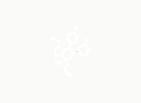 C=CC[C@@]1(C)C[C@H](c2cccc(Cl)c2)[C@@H](c2ccc(Cl)cc2)[N+]2=C1OC[C@@H]2CC(C)C